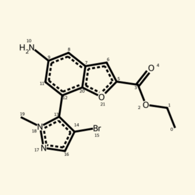 CCOC(=O)c1cc2cc(N)cc(-c3c(Br)cnn3C)c2o1